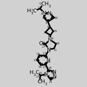 CC(C)n1cc(C2CC(N3CCN(c4cccc(-c5nncn5C(C)C)n4)C3=O)C2)cn1